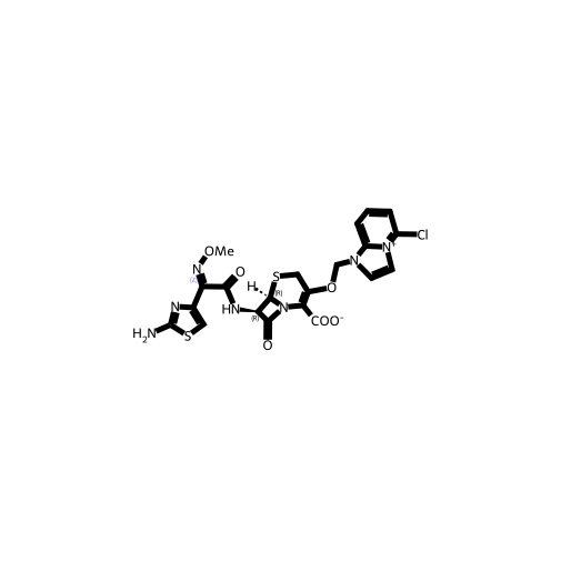 CO/N=C(\C(=O)N[C@@H]1C(=O)N2C(C(=O)[O-])=C(OCn3cc[n+]4c(Cl)cccc34)CS[C@H]12)c1csc(N)n1